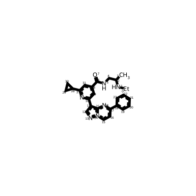 CCNC(C)CNC(=O)c1cc(-c2cnn3ccc(-c4ccccc4)nc23)nc(C2CC2)c1